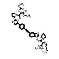 COO/C=N\[C@H](C(=O)N1CCC[C@H]1c1nc2cc(C#Cc3ccc(-c4c[nH]c([C@@H]5CCCN5C(=O)[C@@H](NC(=O)OC)[C@@H](C)OC)n4)cc3)ccc2[nH]1)[C@@H](C)OC